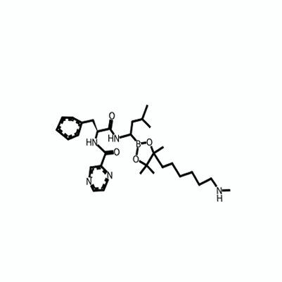 CNCCCCCCC1(C)OB(C(CC(C)C)NC(=O)[C@H](Cc2ccccc2)NC(=O)c2cnccn2)OC1(C)C